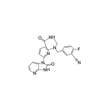 N#Cc1cc(CN2CCNC(=O)c3ccc(-n4c(=O)[nH]c5ncccc54)nc32)ccc1F